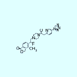 Cc1c(C(F)CN2CCN(C(=O)Cc3ccc(-n4cnnn4)cn3)CC2)ccc2c1COC2=O